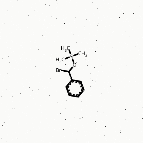 C[Si](C)(C)OC(Br)c1ccccc1